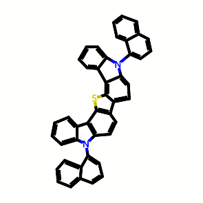 c1ccc2c(-n3c4ccccc4c4c5sc6c(ccc7c6c6ccccc6n7-c6cccc7ccccc67)c5ccc43)cccc2c1